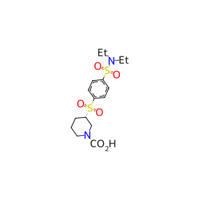 CCN(CC)S(=O)(=O)c1ccc(S(=O)(=O)[C@H]2CCCN(C(=O)O)C2)cc1